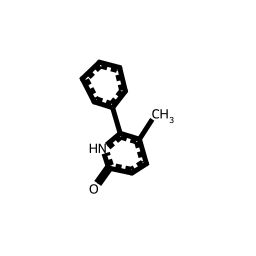 Cc1ccc(=O)[nH]c1-c1ccccc1